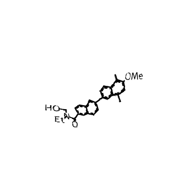 CCN(CO)C(=O)c1ccc2cc(-c3ccc4c(C)c(OC)cc(C)c4c3)ccc2c1